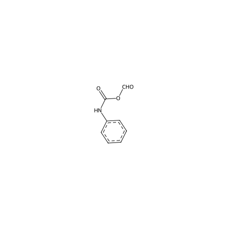 O=COC(=O)Nc1ccccc1